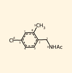 CC(=O)NCc1ccc(Cl)cc1C